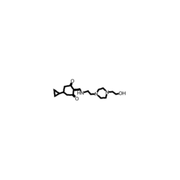 O=C1CC(C2CC2)CC(=O)C1=CNCCN1CCN(CCO)CC1